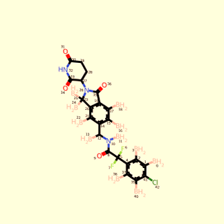 Bc1c(B)c(C(F)(F)C(=O)N(B)C(B)c2c(B)c(B)c3c(c2B)C(B)(B)N(C2CCC(=O)NC2=O)C3=O)c(B)c(B)c1Cl